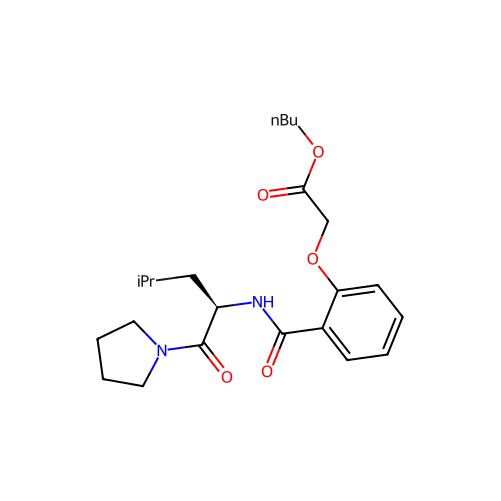 CCCCOC(=O)COc1ccccc1C(=O)N[C@H](CC(C)C)C(=O)N1CCCC1